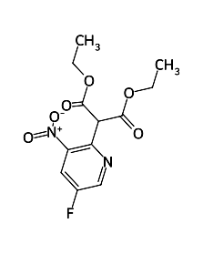 CCOC(=O)C(C(=O)OCC)c1ncc(F)cc1[N+](=O)[O-]